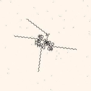 CCCCCCCCCCCCCCCC[N+](C)(C)CCC[Si](OCC(CO)(CO)NC(=O)CCCCCCCCCCCCCCC)(OCC(CO)(CO)NC(=O)CCCCCCCCCCCCCCC)OCC(CO)(CO)NC(=O)CCCCCCCCCCCCCCC